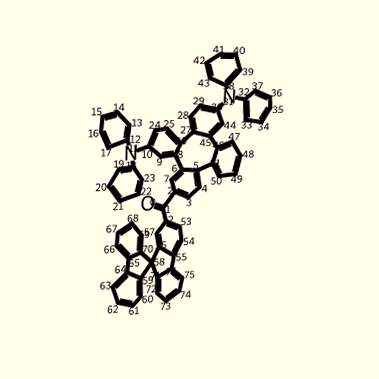 O=C(c1ccc2c(c1)-c1cc(N(c3ccccc3)c3ccccc3)ccc1-c1ccc(N(c3ccccc3)c3ccccc3)cc1-c1ccccc1-2)c1ccc2c(c1)C1(c3ccccc3-c3ccccc31)c1ccccc1-2